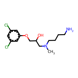 CN(CCCCN)CC(O)COc1cc(Cl)cc(Cl)c1